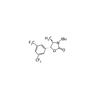 C[C@@H]1[C@@H](c2cc(C(F)(F)F)cc(C(F)(F)F)c2)OC(=O)N1C(C)(C)C